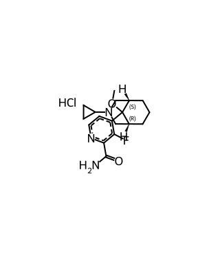 COC1(c2ccnc(C(N)=O)c2F)[C@@H]2CCC[C@H]1CN(C1CC1)C2.Cl